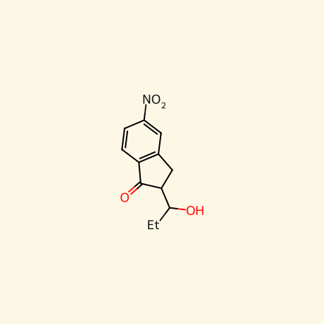 CCC(O)C1Cc2cc([N+](=O)[O-])ccc2C1=O